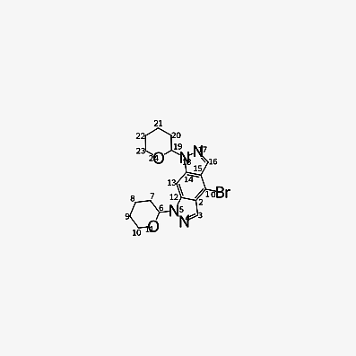 Brc1c2cnn(C3CCCCO3)c2cc2c1cnn2C1CCCCO1